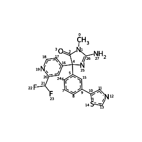 CN1C(=O)C(c2cccc(-c3cncs3)c2)(c2ccnc(C(F)F)c2)N=C1N